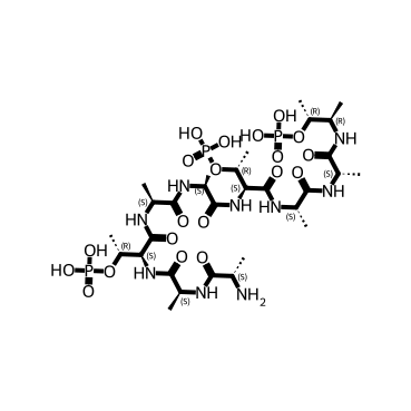 C[C@H](N)C(=O)N[C@@H](C)C(=O)N[C@H](C(=O)N[C@@H](C)C(=O)N[C@@H](C)C(=O)N[C@H](C(=O)N[C@@H](C)C(=O)N[C@@H](C)C(=O)N[C@H](C)[C@@H](C)OP(=O)(O)O)[C@@H](C)OP(=O)(O)O)[C@@H](C)OP(=O)(O)O